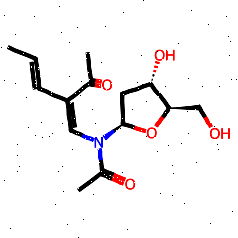 C/C=C/C(=C/N(C(C)=O)[C@H]1C[C@H](O)[C@@H](CO)O1)C(C)=O